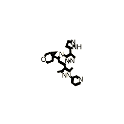 Cc1nn(-c2cccnc2)c(C)c1-c1cc(C23CCOCC2C3)nc2c(-c3ccn[nH]3)cnn12